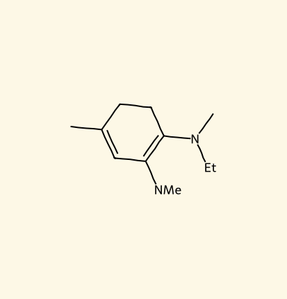 CCN(C)C1=C(NC)C=C(C)CC1